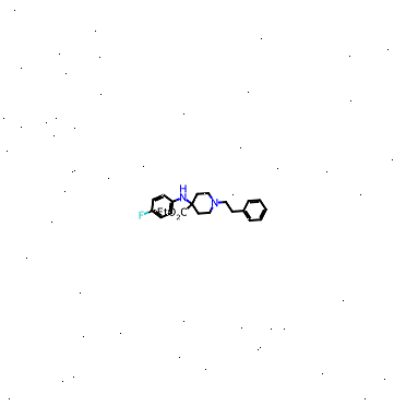 CCOC(=O)C1(Nc2ccc(F)cc2)CCN(CCc2ccccc2)CC1